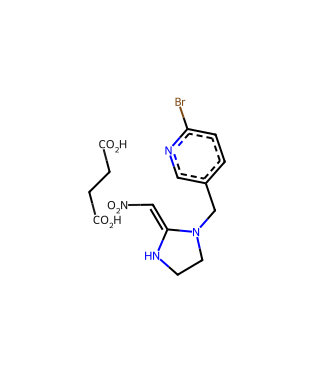 O=C(O)CCC(=O)O.O=[N+]([O-])C=C1NCCN1Cc1ccc(Br)nc1